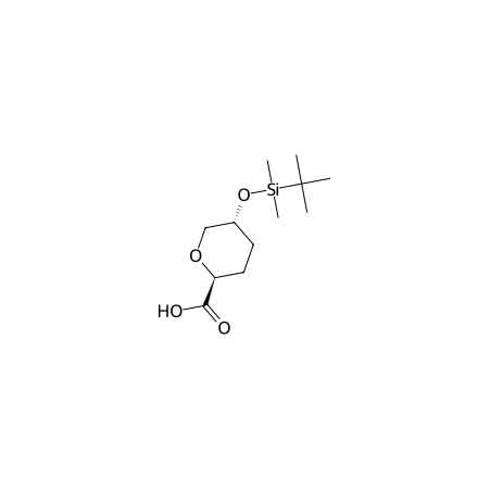 CC(C)(C)[Si](C)(C)O[C@@H]1CC[C@@H](C(=O)O)OC1